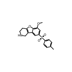 COc1cc(S(=O)(=O)c2ccc(C)cc2)cc2c3c(oc12)CCNC3